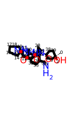 C[C@]1(O)CC[C@@H](Nc2cc(C(=O)NC3CC4CCC(C3)N4c3ccc(C(=O)C4CC4)cn3)ccc2C(N)=O)CC1